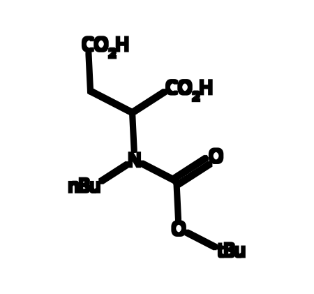 CCCCN(C(=O)OC(C)(C)C)C(CC(=O)O)C(=O)O